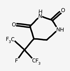 O=C1NCC(C(F)(C(F)(F)F)C(F)(F)F)C(=O)N1